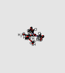 NC(=O)NCCC[C@H](NC(=O)C1(C(=O)NCCCCCN2C(=O)CC(S)C2=O)CCC1)C(=O)NCCC(=O)Nc1cc(/C=C/C(=O)N2C[C@@H](CCl)c3c2cc(OP(=O)(O)O)c2ccccc32)ccc1/C=C/C(=O)N1C[C@@H](CCl)c2c1cc(OP(=O)(O)O)c1ccccc21